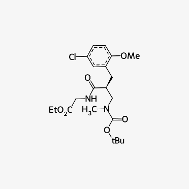 CCOC(=O)CNC(=O)[C@@H](Cc1cc(Cl)ccc1OC)CN(C)C(=O)OC(C)(C)C